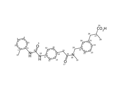 Cc1ccccc1NC(=O)Nc1ccc(CC(=O)N(C)Cc2cccc(CC(C)C(=O)O)c2)cc1